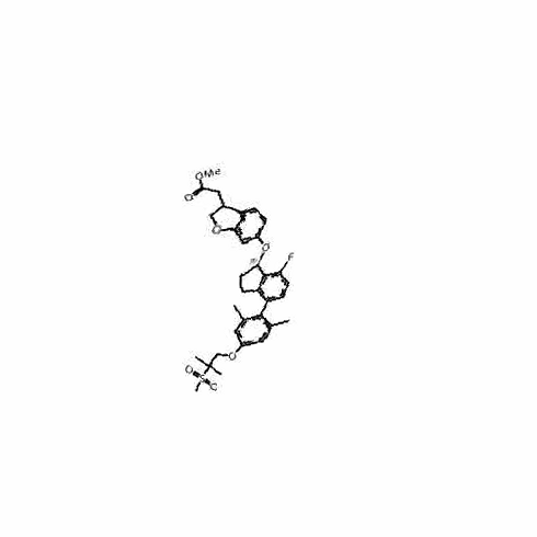 COC(=O)CC1COc2cc(O[C@@H]3CCc4c(-c5c(C)cc(OCC(C)(C)S(C)(=O)=O)cc5C)ccc(F)c43)ccc21